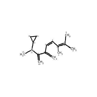 C=C(/C=C\C(C)=C(C)C)C(=C)N(C)C1CC1